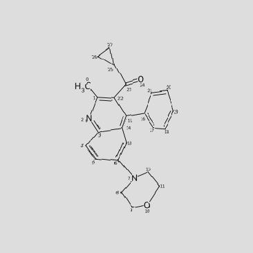 Cc1nc2ccc(N3CCOCC3)cc2c(-c2ccccc2)c1C(=O)C1CC1